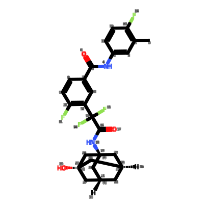 Cc1cc(NC(=O)c2ccc(F)c(C(F)(F)C(=O)N[C@@]34C[C@@H]5C[C@@H](C[C@@](O)(C5)C3)C4)c2)ccc1F